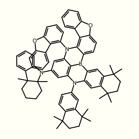 CC1(C)CCC(C)(C)c2cc(N3c4cc5c(cc4B4c6ccc7oc8ccccc8c7c6N(c6cccc7oc8ccccc8c67)c6cc(N7c8ccccc8C8(C)CCCCC78C)cc3c64)C(C)(C)CCC5(C)C)ccc21